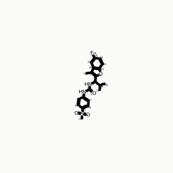 Cc1c(C(NC(=O)Nc2ccc(S(C)(=O)=O)cc2)C(C)C)oc2ccc(F)cc12